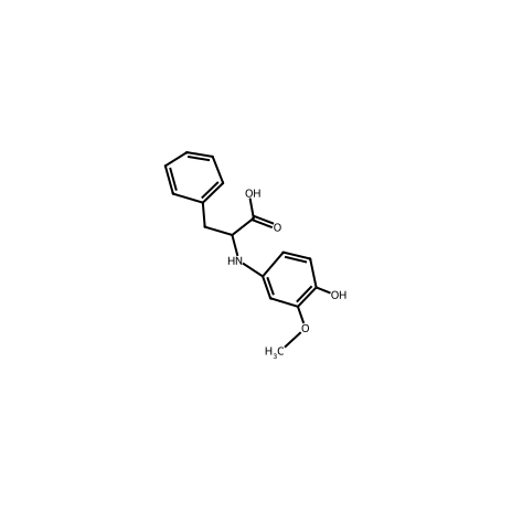 COc1cc(NC(Cc2ccccc2)C(=O)O)ccc1O